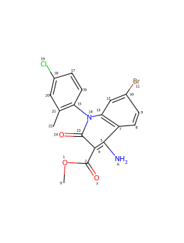 COC(=O)c1c(N)c2ccc(Br)cc2n(-c2ccc(Cl)cc2C)c1=O